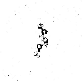 CC(=O)NCc1cccc(-n2nnc3cnc(Nc4cccc(-c5cnco5)c4)nc32)c1